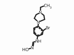 CCN1CCN(c2ccc(N/C=N/O)cc2Br)CC1